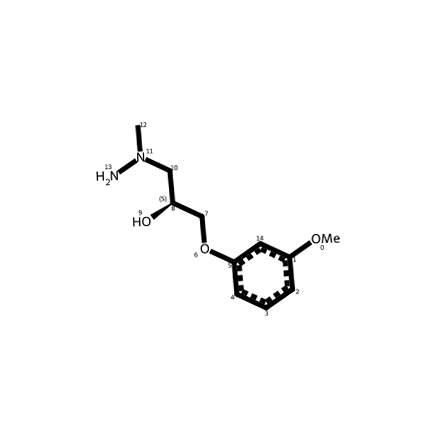 COc1cccc(OC[C@@H](O)CN(C)N)c1